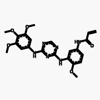 C=CC(=O)Nc1ccc(OC)c(Nc2ncnc(Nc3cc(OC)c(OC)c(OC)c3)n2)c1